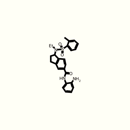 CCN(C1CCc2cc(C(=O)Nc3ccccc3N)ccc21)S(=O)(=O)c1ccccc1C